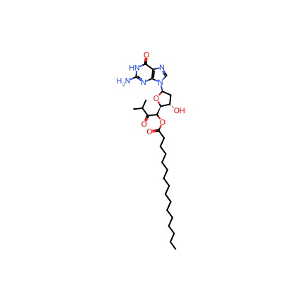 CCCCCCCCCCCCCCCC(=O)OC(C(=O)C(C)C)[C@H]1O[C@@H](n2cnc3c(=O)[nH]c(N)nc32)C[C@@H]1O